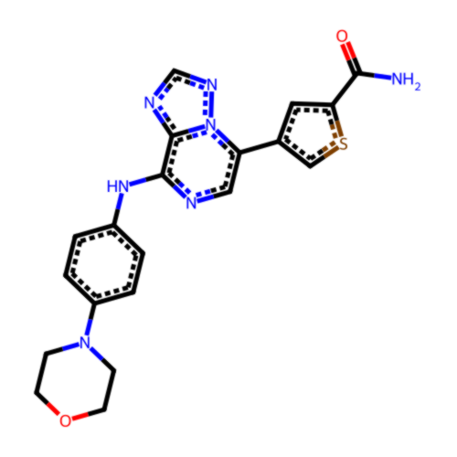 NC(=O)c1cc(-c2cnc(Nc3ccc(N4CCOCC4)cc3)c3ncnn23)cs1